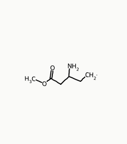 [CH2]CC(N)CC(=O)OC